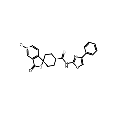 O=C1O[C@]2(CC[C@H](C(=O)Nc3nc(-c4ccccc4)co3)CC2)c2cc[n+]([O-])cc21